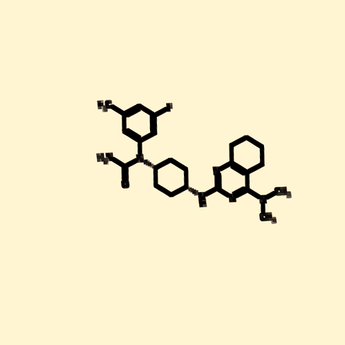 CN(C)c1nc(N[C@H]2CC[C@@H](N(C(N)=O)c3cc(F)cc(C(F)(F)F)c3)CC2)nc2c1CCCC2